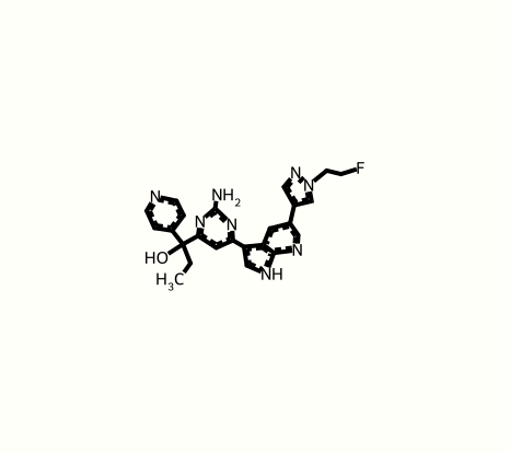 CCC(O)(c1ccncc1)c1cc(-c2c[nH]c3ncc(-c4cnn(CCF)c4)cc23)nc(N)n1